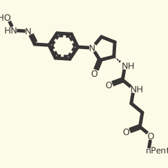 CCCCCOC(=O)CCNC(=O)N[C@H]1CCN(c2ccc(C=NNO)cc2)C1=O